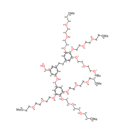 CCCCOCCOCCOc1cc(CCc2cc(CO)cc(OCc3cc(OCCOCCOCCOC)c(OCCOCCOCCOC)c(OCCOCCOCCOC)c3)c2)cc(OCCOCCOCCOC)c1OCCOCCOCCOC